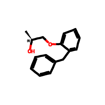 C[C@@H](O)COc1ccccc1Cc1ccccc1